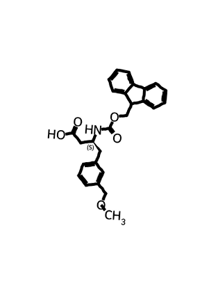 COCc1cccc(C[C@@H](CC(=O)O)NC(=O)OCC2c3ccccc3-c3ccccc32)c1